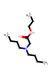 CCCCN(CCCC)CC(=O)OCCC